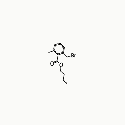 CCCCOC(=O)c1c(C)cccc1CBr